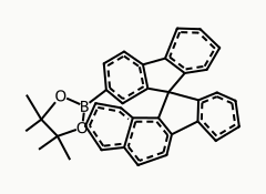 CC1(C)OB(c2ccc3c(c2)C2(c4ccccc4-3)c3ccccc3-c3ccc4ccccc4c32)OC1(C)C